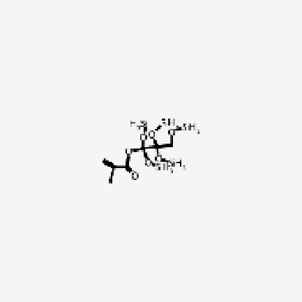 C=C(C)C(=O)OC(O[SiH3])(O[SiH3])C(CO[SiH3])(O[SiH3])O[SiH3]